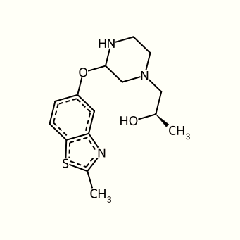 Cc1nc2cc(OC3CN(C[C@@H](C)O)CCN3)ccc2s1